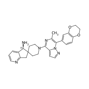 Cc1nc(N2CCC3(CC2)Cc2ncccc2[C@H]3N)c2ccnn2c1-c1ccc2c(c1)OCCO2